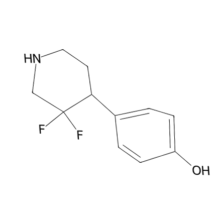 Oc1ccc(C2CCNCC2(F)F)cc1